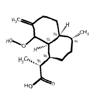 C=C1CC[C@@H]2[C@H](C1OO)[C@H]([C@@H](C)C(=O)O)CC[C@H]2C